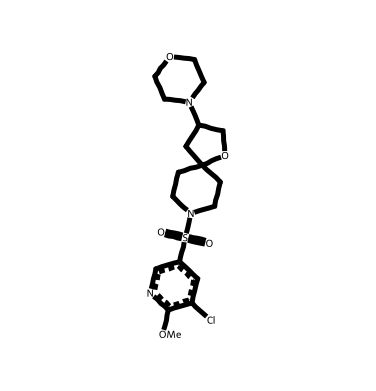 COc1ncc(S(=O)(=O)N2CCC3(CC2)CC(N2CCOCC2)CO3)cc1Cl